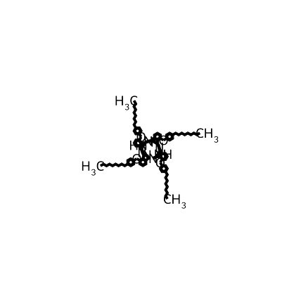 CCCCCCCCCc1ccc(Oc2cccc3c2-c2nc-3nc3[nH]c(nc4nc(nc5[nH]c(n2)c2cccc(Oc6ccc(CCCCCCCCC)cc6)c52)-c2cccc(Oc5ccc(CCCCCCCCC)cc5)c2-4)c2cccc(Oc4ccc(CCCCCCCCC)cc4)c32)cc1